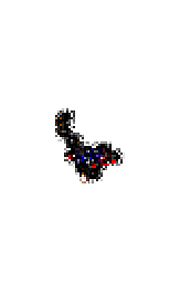 c1ccc(N(c2cccc(N(c3ccc4sc5ccccc5c4c3)c3cccc4c3sc3ccc(-c5ccc6sc7ccccc7c6c5)cc34)c2)c2cccc3c2oc2ccccc23)cc1